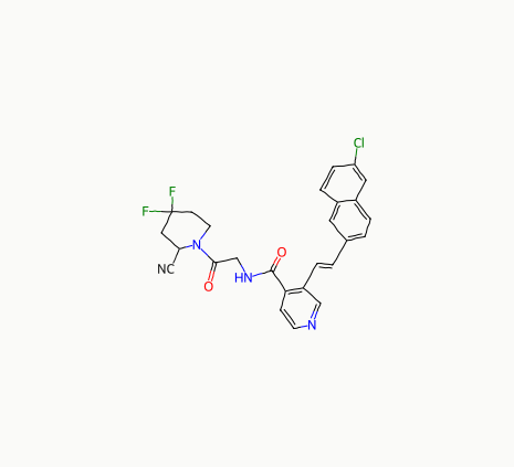 N#CC1CC(F)(F)CCN1C(=O)CNC(=O)c1ccncc1C=Cc1ccc2cc(Cl)ccc2c1